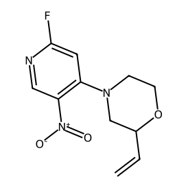 C=CC1CN(c2cc(F)ncc2[N+](=O)[O-])CCO1